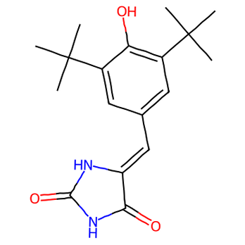 CC(C)(C)c1cc(/C=C2\NC(=O)NC2=O)cc(C(C)(C)C)c1O